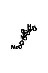 COc1ccc(-c2nc(CS(=O)(=O)CC(=O)NCc3ccco3)c(C)o2)cc1